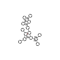 c1ccc(-c2ccc3c(c2)c2cc(-c4ccccc4)ccc2n3-c2ccc(-c3nc(-c4ccccc4)cc(-c4ccccc4)n3)cc2-c2ccc(-c3ccc(N4c5ccccc5B5c6ccccc6N(c6ccccc6)c6cccc4c65)cc3)cc2)cc1